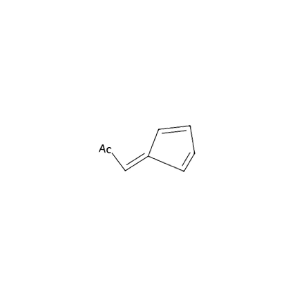 CC(=O)C=C1C=CC=C1